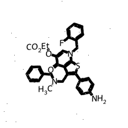 CCOC(=O)Oc1cn(Cc2ccccc2F)c2sc(-c3ccc(N)cc3)c(CN(C)Cc3ccccc3)c2c1=O